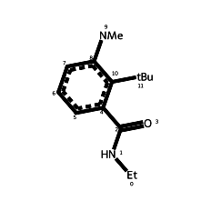 CCNC(=O)c1cccc(NC)c1C(C)(C)C